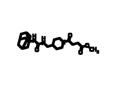 COC(=O)CCC(=O)N1CCC(CNC(=O)NC23CC4CC(CC(C4)C2)C3)CC1